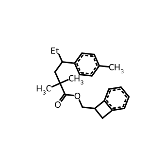 CCC(CC(C)(C)C(=O)OCC1Cc2ccccc21)c1ccc(C)cc1